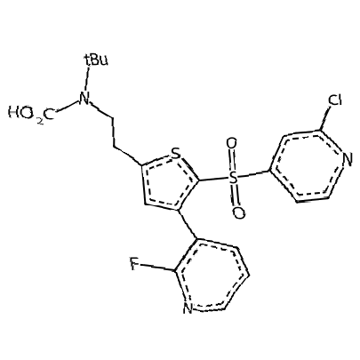 CC(C)(C)N(CCc1cc(-c2cccnc2F)c(S(=O)(=O)c2ccnc(Cl)c2)s1)C(=O)O